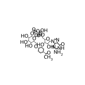 CC(=O)c1ccc(OCC2OC(OP(=O)(O)OP(=O)(O)OCC3OC(n4cnc5c(=O)[nH]c(N)nc54)C(O)C3O)C(O)C(O)C2O)cc1